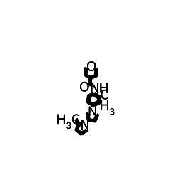 Cc1cc(N2CCC(N3CCCC3C)C2)ccc1NC(=O)C1CCOCC1